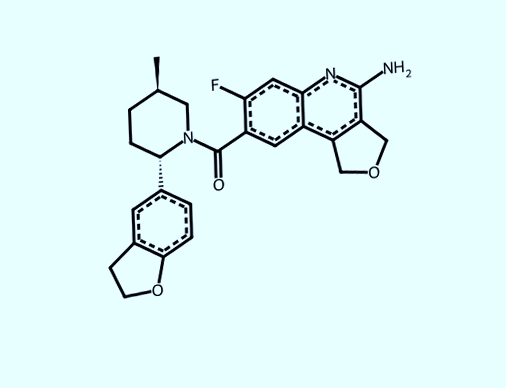 C[C@@H]1CC[C@@H](c2ccc3c(c2)CCO3)N(C(=O)c2cc3c4c(c(N)nc3cc2F)COC4)C1